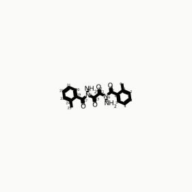 Cc1ccccc1C(=O)N(N)C(=O)C(=O)N(N)C(=O)c1ccccc1C